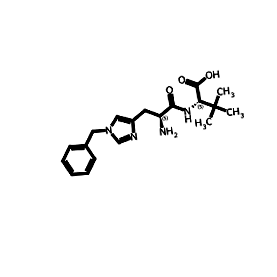 CC(C)(C)[C@H](NC(=O)[C@@H](N)Cc1cn(Cc2ccccc2)cn1)C(=O)O